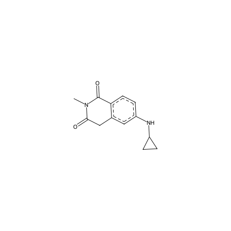 CN1C(=O)Cc2cc(NC3CC3)ccc2C1=O